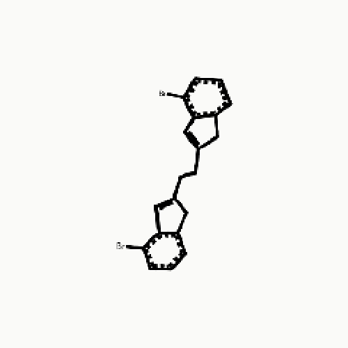 Brc1cccc2c1C=C(CCC1=Cc3c(Br)cccc3C1)C2